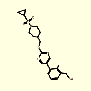 O=S(=O)(C1CC1)N1CCC(COc2ncc(-c3cccc(CO)c3F)cn2)CC1